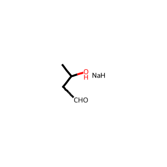 CC(O)CC=O.[NaH]